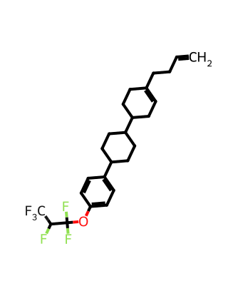 C=CCCC1=CCC(C2CCC(c3ccc(OC(F)(F)C(F)C(F)(F)F)cc3)CC2)CC1